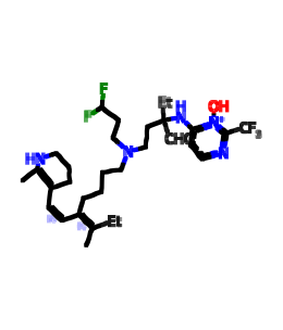 CC/C(C)=C(/C=C\C1=C(C)NCCC1)CCCCN(CCC(F)F)CCC(C=O)(CC)Nc1ccnc(C(F)(F)F)[n+]1O